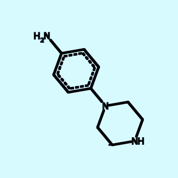 Nc1ccc(N2C[CH]NCC2)cc1